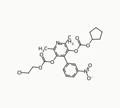 Cc1nc(C)c(OC(=O)OC2CCCC2)c(-c2cccc([N+](=O)[O-])c2)c1OC(=O)OCCCl